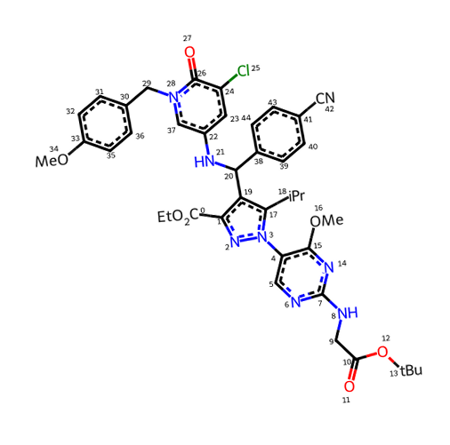 CCOC(=O)c1nn(-c2cnc(NCC(=O)OC(C)(C)C)nc2OC)c(C(C)C)c1C(Nc1cc(Cl)c(=O)n(Cc2ccc(OC)cc2)c1)c1ccc(C#N)cc1